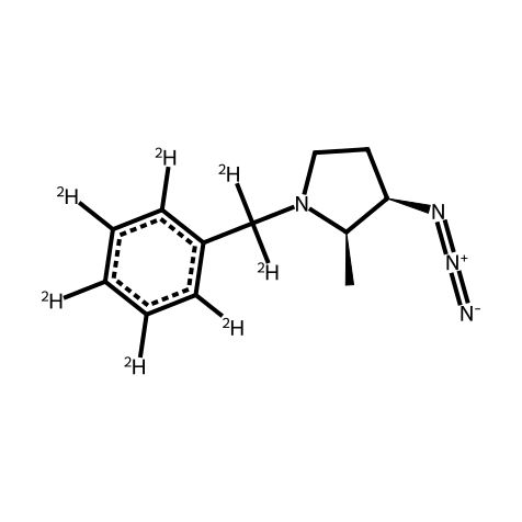 [2H]c1c([2H])c([2H])c(C([2H])([2H])N2CC[C@@H](N=[N+]=[N-])[C@H]2C)c([2H])c1[2H]